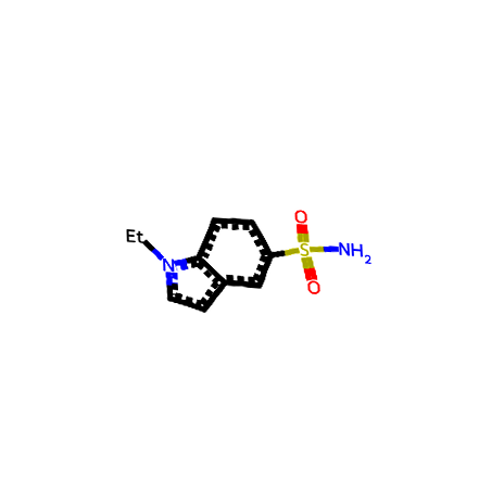 CCn1ccc2cc(S(N)(=O)=O)ccc21